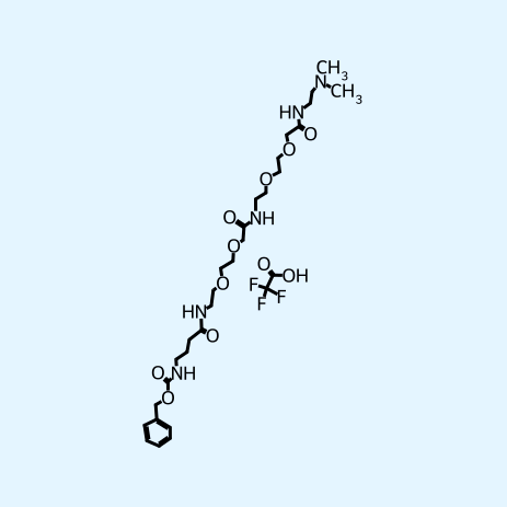 CN(C)CCNC(=O)COCCOCCNC(=O)COCCOCCNC(=O)CCCNC(=O)OCc1ccccc1.O=C(O)C(F)(F)F